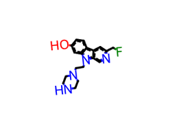 Oc1ccc2c3cc(CF)ncc3n(CCN3CCNCC3)c2c1